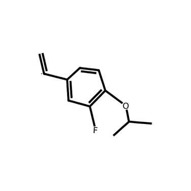 C=[C]c1ccc(OC(C)C)c(F)c1